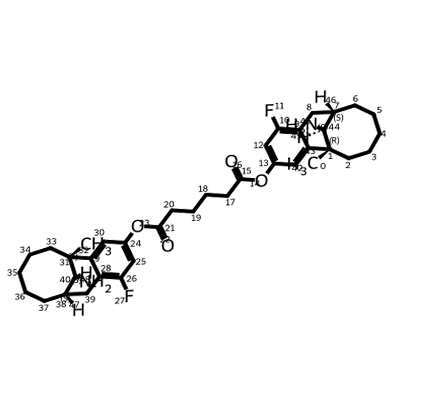 C[C@@]12CCCCC[C@@H](Cc3c(F)cc(OC(=O)CCCCC(=O)Oc4cc(F)c5c(c4)[C@@]4(C)CCCCC[C@@H](C5)[C@@H]4N)cc31)[C@@H]2N